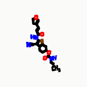 CCCNC(=O)OC1CCc2c(sc(NC(=O)C=Cc3ccoc3)c2C#N)C1